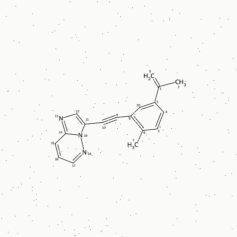 C=C(C)c1ccc(C)c(C#Cc2cnc3cccnn23)c1